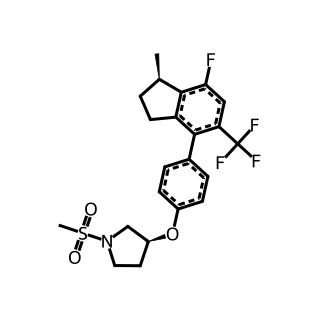 C[C@@H]1CCc2c(-c3ccc(O[C@H]4CCN(S(C)(=O)=O)C4)cc3)c(C(F)(F)F)cc(F)c21